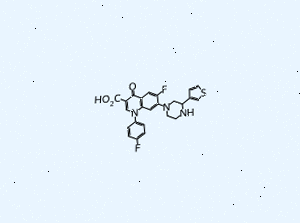 O=C(O)c1cn(-c2ccc(F)cc2)c2cc(N3CCNC(c4ccsc4)C3)c(F)cc2c1=O